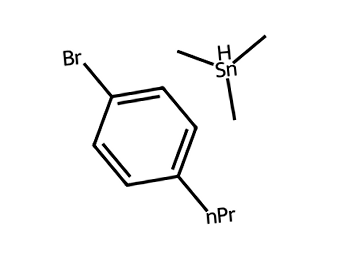 [CH2]CCc1ccc(Br)cc1.[CH3][SnH]([CH3])[CH3]